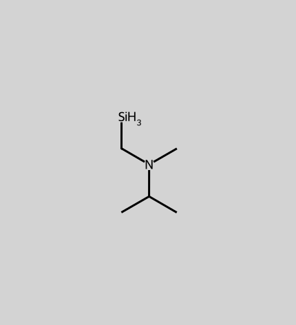 CC(C)N(C)C[SiH3]